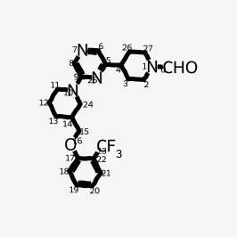 O=CN1CCC(c2cncc(N3CCCC(COc4ccccc4C(F)(F)F)C3)n2)CC1